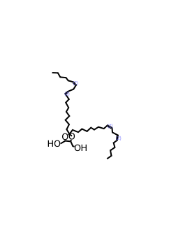 CCCCC/C=C\C/C=C\CCCCCCCCC1(CCCCCCCC/C=C\C/C=C\CCCCC)OC(CO)C(CO)O1